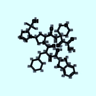 CC(C)(O)c1cnnn1[C@H]1C[C@@H](C(=O)NC2(C(=O)C(N)=O)CCOCC2)N(C(=O)C(CC2CCCCC2)NC(=O)c2nc3ccccc3s2)C1